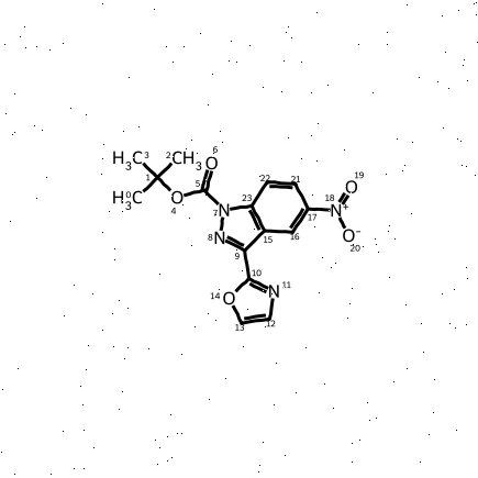 CC(C)(C)OC(=O)n1nc(-c2ncco2)c2cc([N+](=O)[O-])ccc21